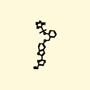 CC(C)(C)c1csc(-c2cc3cc(OCc4ccccc4OC(C)(C)c4nnn[nH]4)ccc3o2)n1